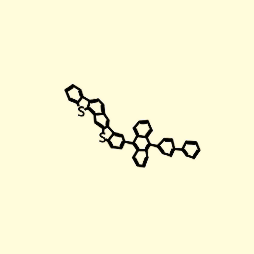 c1ccc(-c2ccc(-c3c4ccccc4c(-c4ccc5sc6cc7c(ccc8c9ccccc9sc78)cc6c5c4)c4ccccc34)cc2)cc1